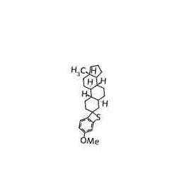 COc1ccc2c(c1)SC21CC[C@H]2[C@@H](CC[C@@H]3[C@@H]2CC[C@]2(C)CCC[C@@H]32)C1